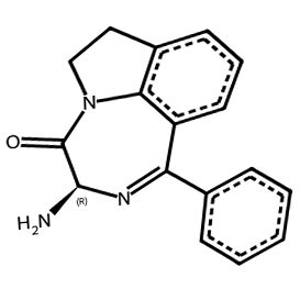 N[C@@H]1N=C(c2ccccc2)c2cccc3c2N(CC3)C1=O